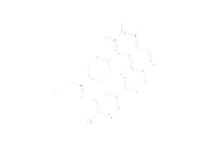 Nc1ncc(-c2ccc3ncc4c(=O)[nH]c(=O)n(C5CCN(C(=O)CO)CC5)c4c3n2)cn1